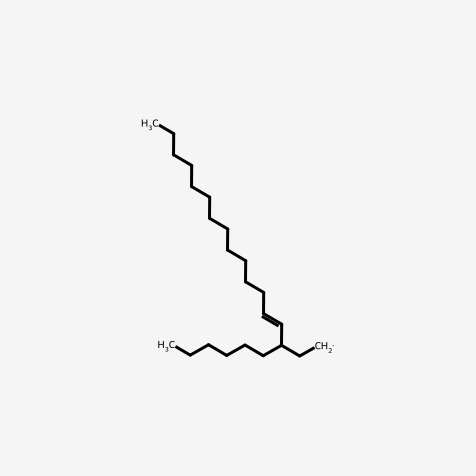 [CH2]CC(C=CCCCCCCCCCCCC)CCCCCC